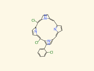 Clc1ccccc1-c1cc2cc3nc(cc4ccc([nH]4)c(Cl)c4nc(c(Cl)c1[nH]2)C=C4)C=C3